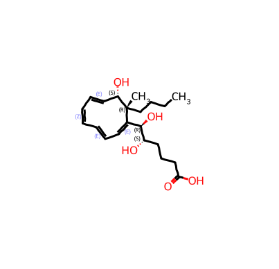 CCCC[C@]1(C)\C([C@@H](O)[C@@H](O)CCCC(=O)O)=C/C=C/C=C\C=C\[C@@H]1O